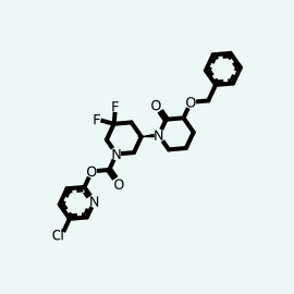 O=C(Oc1ccc(Cl)cn1)N1C[C@H](N2CCCC(OCc3ccccc3)C2=O)CC(F)(F)C1